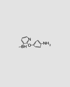 CBc1cccnc1Oc1ccc(N)cc1